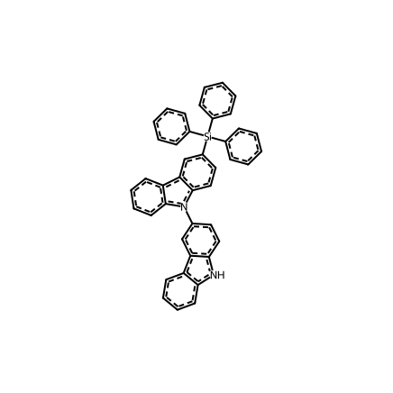 c1ccc([Si](c2ccccc2)(c2ccccc2)c2ccc3c(c2)c2ccccc2n3-c2ccc3[nH]c4ccccc4c3c2)cc1